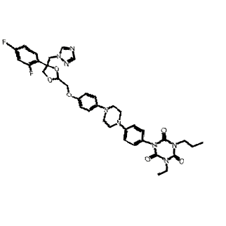 CCCn1c(=O)n(CC)c(=O)n(-c2ccc(N3CCN(c4ccc(OCC5OCC(Cn6cncn6)(c6ccc(F)cc6F)O5)cc4)CC3)cc2)c1=O